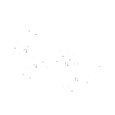 CC1C=C(N(c2ccc(-c3cccc4ccccc34)cc2)c2cccc3c2CCC=C3)C=CC1N(c1ccc(-c2ccc(N(c3cccc4ccccc34)C3C=CC(N(C4=CC=C(c5cccc6ccccc56)CC4)c4cccc5c4C=CCC5)=CC3)cc2)cc1)c1cccc2ccccc12